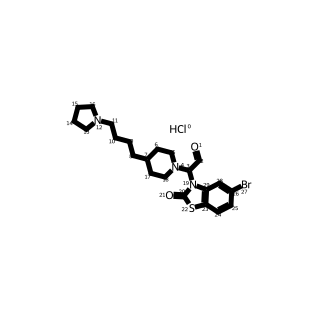 Cl.O=CC(N1CCC(CCCCN2CCCC2)CC1)n1c(=O)sc2ccc(Br)cc21